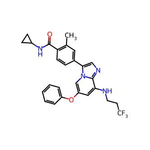 Cc1cc(-c2cnc3c(NCCC(F)(F)F)cc(Oc4ccccc4)cn23)ccc1C(=O)NC1CC1